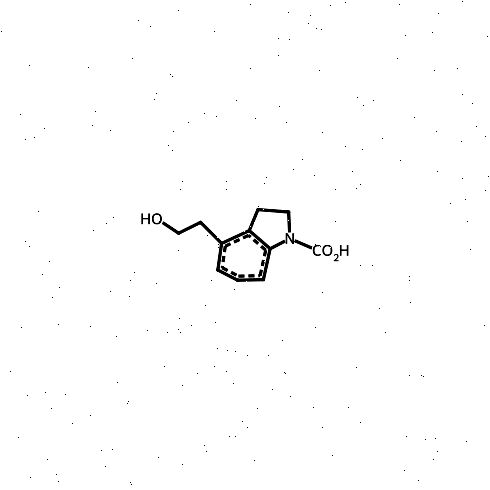 O=C(O)N1CCc2c(CCO)cccc21